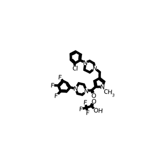 Cn1cc(CN2CCN(c3ccccc3Cl)CC2)cc1C(=O)N1CCN(c2cc(F)c(F)c(F)c2)CC1.O=C(O)C(F)(F)F